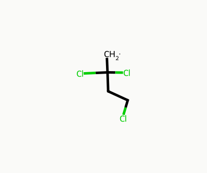 [CH2]C(Cl)(Cl)CCCl